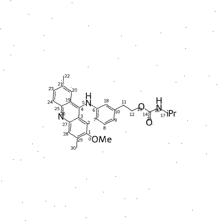 COc1cc2c(Nc3cccc(CCOC(=O)NC(C)C)c3)c3cc(C)ccc3nc2cc1C